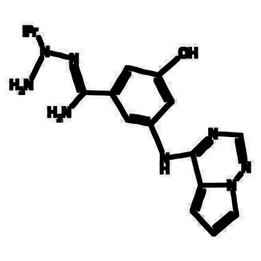 CC(C)N(N)/N=C(\N)c1cc(O)cc(Nc2ncnn3cccc23)c1